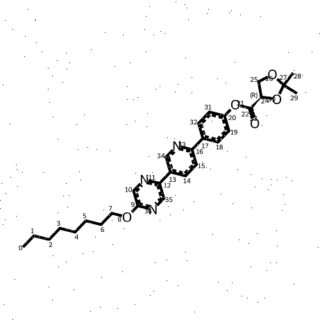 CCCCCCCCOc1cnc(-c2ccc(-c3ccc(OC(=O)[C@H]4COC(C)(C)O4)cc3)nc2)cn1